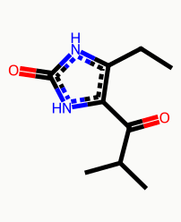 CCc1[nH]c(=O)[nH]c1C(=O)C(C)C